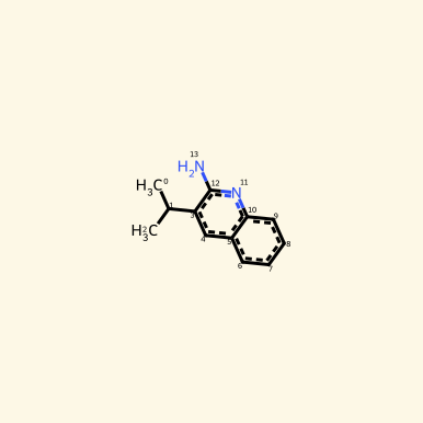 CC(C)c1cc2ccccc2nc1N